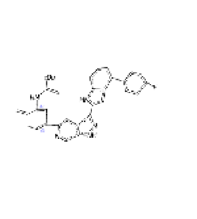 C=C/C(=C\C(=C/C)c1cc2c(-c3cc4c(-c5ccc(F)cc5)cccc4[nH]3)n[nH]c2cn1)NC(=C)C(C)(C)C